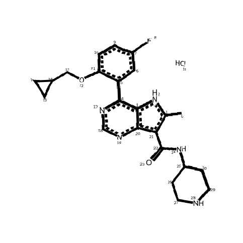 Cc1[nH]c2c(-c3cc(F)ccc3OCC3CC3)ncnc2c1C(=O)NC1CCNCC1.Cl